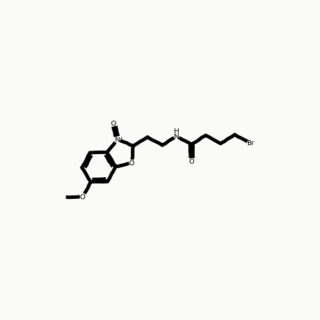 COc1ccc2c(c1)OC(CCNC(=O)CCCBr)[N+]2=O